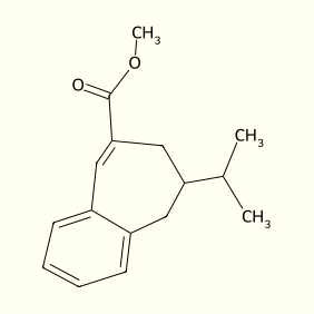 COC(=O)C1=Cc2ccccc2CC(C(C)C)C1